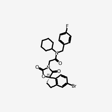 O=C1O[C@@]2(CCc3cc(Br)ccc32)C(=O)N1CC(=O)N(Cc1ccc(F)cc1)C1CCCCC1